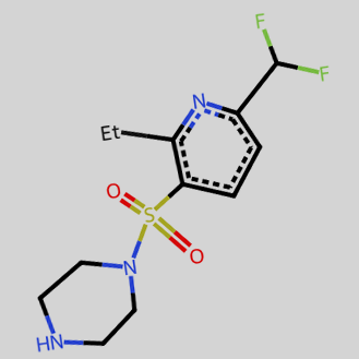 CCc1nc(C(F)F)ccc1S(=O)(=O)N1CCNCC1